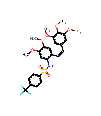 COc1cc(/C=C\c2cc(OC)c(OC)c(OC)c2)c(NS(=O)(=O)c2ccc(C(F)(F)F)cc2)cc1OC